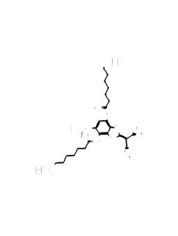 CCCCCCCC(=O)Oc1cc(C)c(OC(=O)CCCCCCC)c2c1SC(=C(C#N)C#N)S2